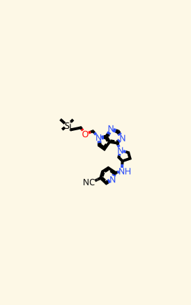 C[Si](C)(C)CCOCn1ccc2c(N3CCC(Nc4ccc(C#N)cn4)C3)ncnc21